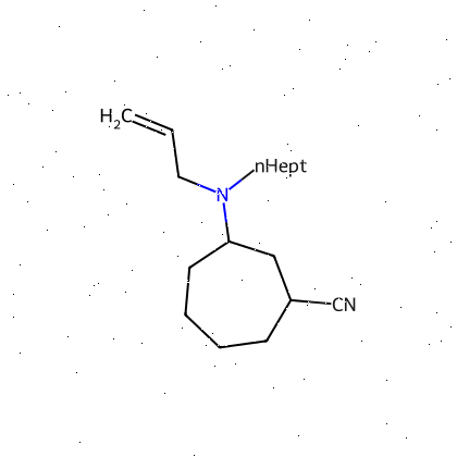 C=CCN(CCCCCCC)C1CCCCC(C#N)C1